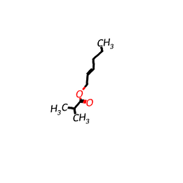 CCC/C=C/COC(=O)C(C)C